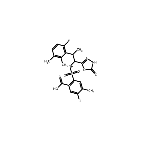 Cc1cc(S(=O)(=O)NC(c2n[nH]c(=O)o2)C(C)c2c(F)ccc(C)c2C)c(C(=O)O)cc1Cl